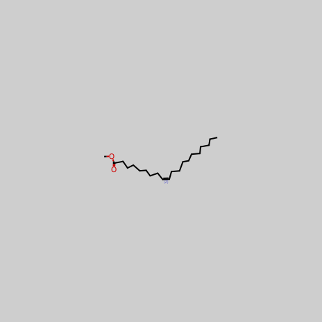 CCCCCCCCCC/C=C\CCCCCCCC(=O)OC